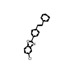 Clc1ccc2oc(-c3ccc(C=Cc4ccccc4)cc3)nc2c1